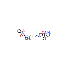 CN(CCCCCCCCN1CCC(C(C(N)=O)(c2ccccc2)c2ccccc2)C1)CCN1C(=O)c2ccccc2C1=O